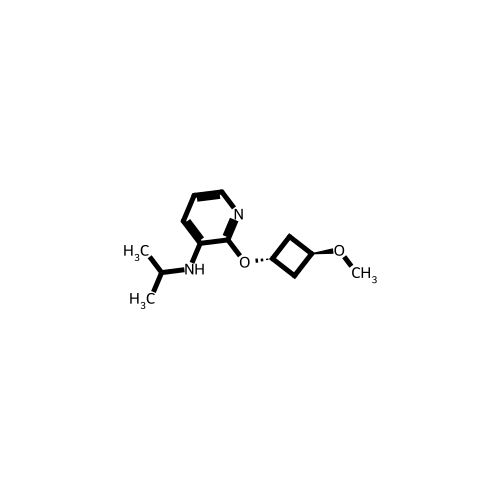 CO[C@H]1C[C@H](Oc2ncccc2NC(C)C)C1